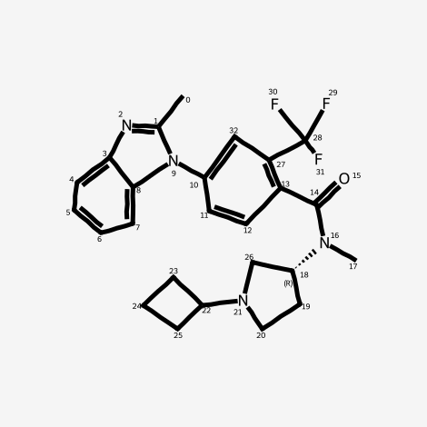 Cc1nc2ccccc2n1-c1ccc(C(=O)N(C)[C@@H]2CCN(C3CCC3)C2)c(C(F)(F)F)c1